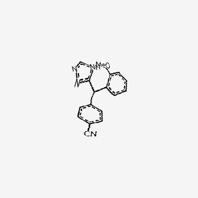 COc1ccccc1C(c1ccc(C#N)cc1)c1nnc[nH]1